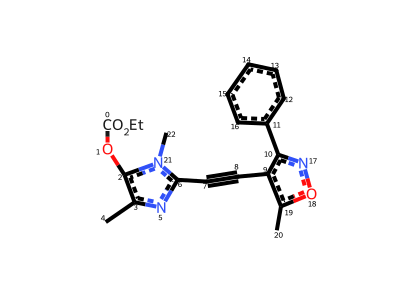 CCOC(=O)Oc1c(C)nc(C#Cc2c(-c3ccccc3)noc2C)n1C